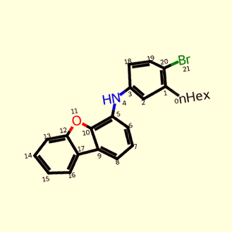 CCCCCCc1cc(Nc2cccc3c2oc2ccccc23)ccc1Br